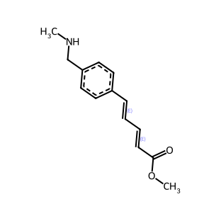 CNCc1ccc(/C=C/C=C/C(=O)OC)cc1